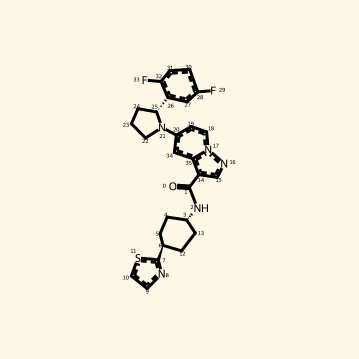 O=C(N[C@H]1CC[C@H](c2nccs2)CC1)c1cnn2ccc(N3CCC[C@@H]3c3cc(F)ccc3F)cc12